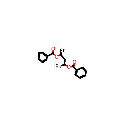 CCC(CC(OC(=O)c1ccccc1)C(C)CC)OC(=O)c1ccccc1